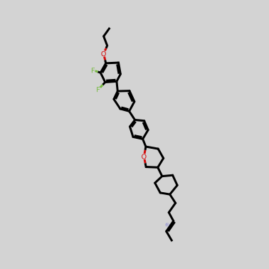 C/C=C/CCC1CCC(C2CCC(c3ccc(-c4ccc(-c5ccc(OCCC)c(F)c5F)cc4)cc3)OC2)CC1